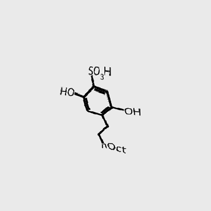 CCCCCCCCCCc1cc(O)c(S(=O)(=O)O)cc1O